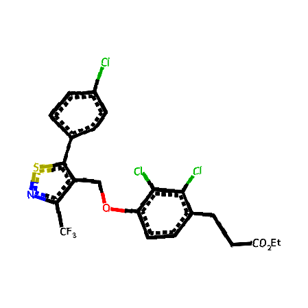 CCOC(=O)CCc1ccc(OCc2c(C(F)(F)F)nsc2-c2ccc(Cl)cc2)c(Cl)c1Cl